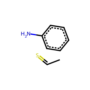 CC=S.Nc1ccccc1